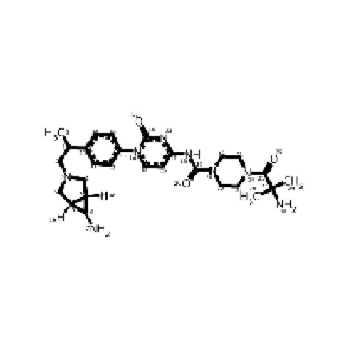 CC(CN1C[C@@H]2[C@@H](N)[C@@H]2C1)c1ccc(-n2ccc(NC(=O)N3CCN(C(=O)C(C)(C)N)CC3)nc2=O)cc1